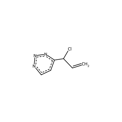 C=CC(Cl)c1ccnnn1